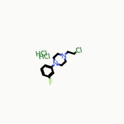 Cl.Cl.Fc1cccc(N2CCN(CCCl)CC2)c1